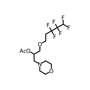 CC(=O)OC(COCCC(F)(F)C(F)(F)C(F)F)CN1CCOCC1